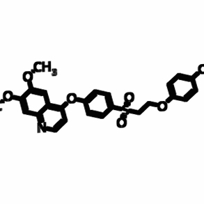 COc1cc2nccc(Oc3ccc(S(=O)(=O)CCOc4ccc(C)cc4)cc3)c2cc1OC